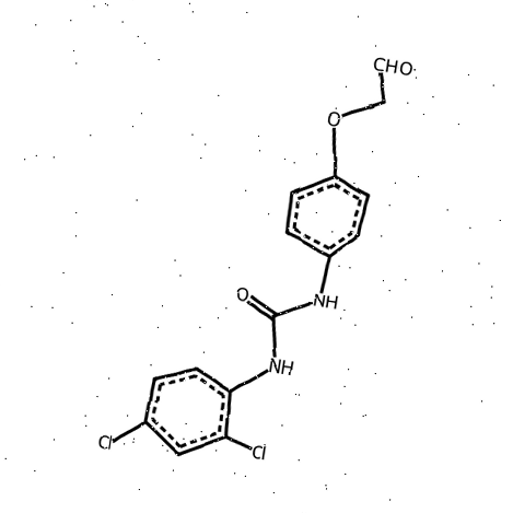 O=[C]COc1ccc(NC(=O)Nc2ccc(Cl)cc2Cl)cc1